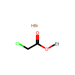 Br.CCOC(=O)CCl